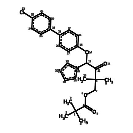 CC(C)(C)C(=O)OCC(C)(C)C(=O)C(Oc1ccc(-c2ccc(Cl)cc2)cc1)n1ccnc1